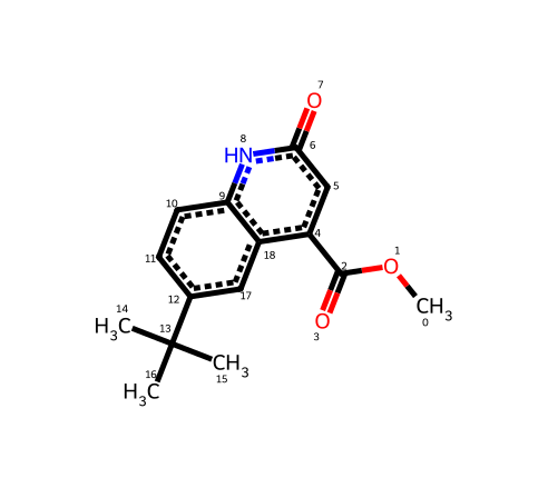 COC(=O)c1cc(=O)[nH]c2ccc(C(C)(C)C)cc12